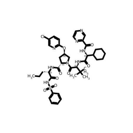 CCC[C@H](NC(=O)[C@@H]1C[C@@H](Oc2ccc(Cl)cn2)CN1C(=O)[C@@H](NC(=O)[C@@H](NC(=O)c1cnccn1)C1CCCCC1)C(C)(C)C)C(=O)NS(=O)(=O)c1ccccc1